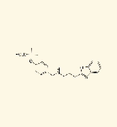 CC(C)(Oc1ccc(CNCCCc2nc3ccccc3o2)cc1)C(=O)O